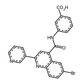 O=C(O)c1cccc(NC(=O)c2cc(-c3cccnc3)nc3ccc(Br)cc23)c1